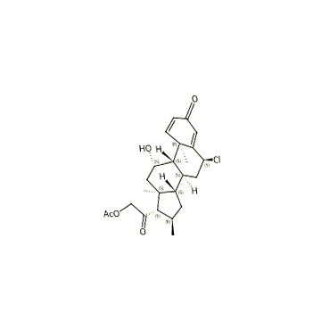 CC(=O)OCC(=O)[C@H]1[C@H](C)C[C@H]2[C@@H]3C[C@H](Cl)C4=CC(=O)C=C[C@]4(C)[C@H]3[C@@H](O)C[C@@]21C